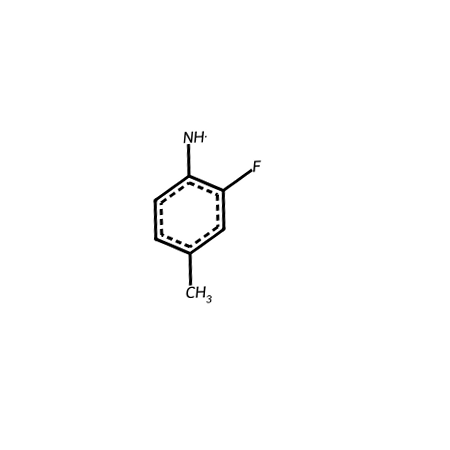 Cc1ccc([NH])c(F)c1